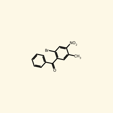 Cc1cc(C(=O)c2ccccc2)c(Br)cc1[N+](=O)[O-]